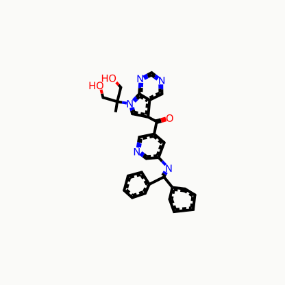 CC(CO)(CO)n1cc(C(=O)c2cncc(N=C(c3ccccc3)c3ccccc3)c2)c2cncnc21